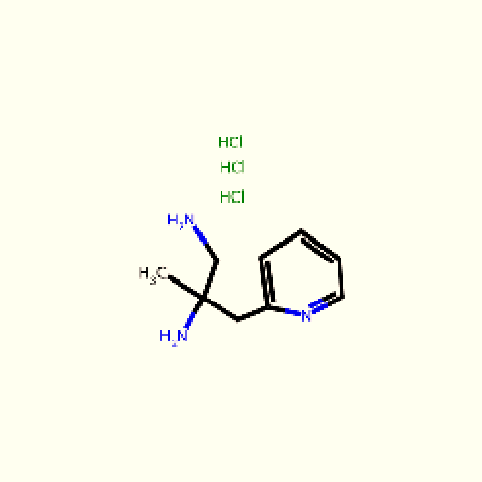 CC(N)(CN)Cc1ccccn1.Cl.Cl.Cl